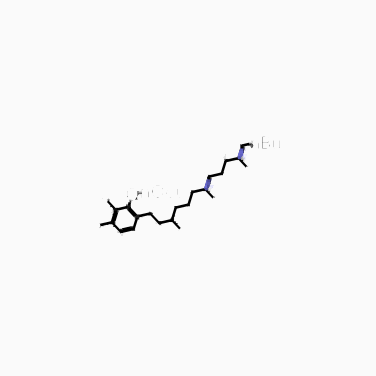 CCCC/C=C(\C)CC/C=C(\C)CCCC(C)CCc1ccc(C)c(C)c1OCCCCCCCC